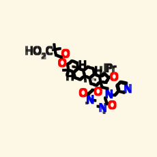 CC(C)C1=C2[C@H]3CC[C@@H]4[C@@]5(C)CC[C@H](OC(=O)CC(C)(C)C(=O)O)C(C)(C)[C@@H]5CC[C@@]4(C)[C@]3(C)CCC2(C(CN(CC(=O)N(C)C)Cc2cccnc2)OCC(=O)N(C)C)CC1=O